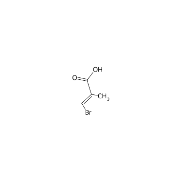 C/C(=C\Br)C(=O)O